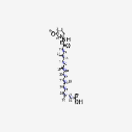 COC1CCCN(NOC(=O)/C=C/C(C)=C/C=C/C(C)=C/C=C/C=C(C)/C=C/C=C(C)\C=C\C(=O)O)C1